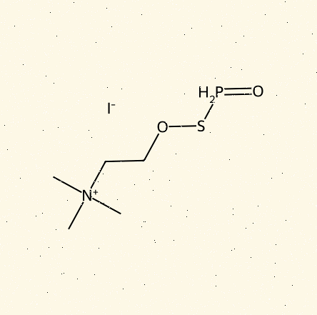 C[N+](C)(C)CCOS[PH2]=O.[I-]